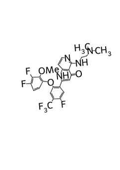 COc1c(Oc2cc(C(F)(F)F)c(F)cc2-c2cc(=O)c3c(NCCN(C)C)nccc3[nH]2)ccc(F)c1F